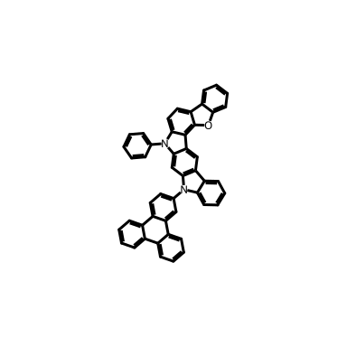 c1ccc(-n2c3cc4c(cc3c3c5oc6ccccc6c5ccc32)c2ccccc2n4-c2ccc3c4ccccc4c4ccccc4c3c2)cc1